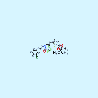 CC(C)(C)OC(=O)c1ccc(CCCN(CCCc2cccc(Cl)c2)C(=O)C(F)(F)F)s1